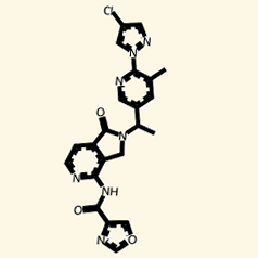 Cc1cc(C(C)N2Cc3c(ccnc3NC(=O)c3cocn3)C2=O)cnc1-n1cc(Cl)cn1